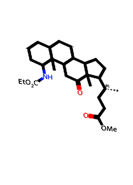 CCOC(=O)NC1C[CH]CC2C[CH]C3C4CCC([C@H](C)CCC(=O)OC)C4(C)C(=O)CC3C21C